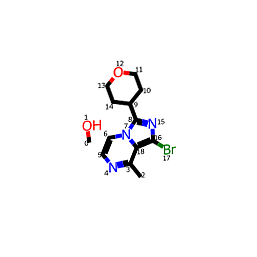 CO.Cc1nccn2c(C3CCOCC3)nc(Br)c12